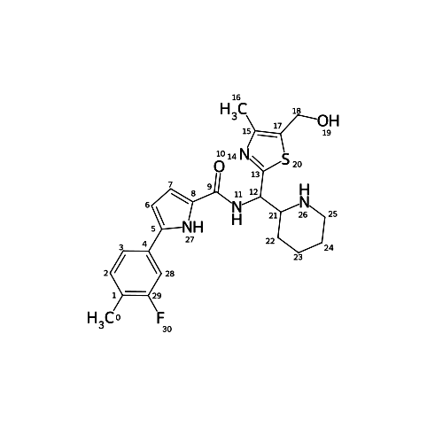 Cc1ccc(-c2ccc(C(=O)NC(c3nc(C)c(CO)s3)C3CCCCN3)[nH]2)cc1F